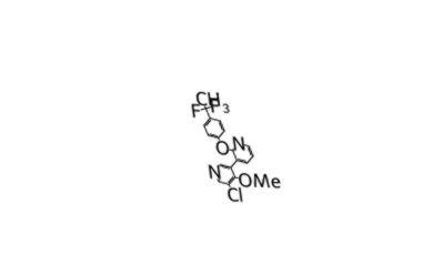 COc1c(Cl)cncc1-c1cccnc1Oc1ccc(C(C)(F)F)cc1